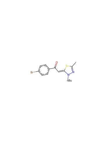 CCCCN1N=C(C)S/C1=C\C(=O)c1ccc(Br)cc1